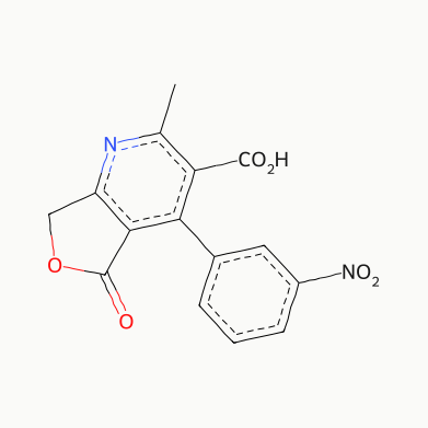 Cc1nc2c(c(-c3cccc([N+](=O)[O-])c3)c1C(=O)O)C(=O)OC2